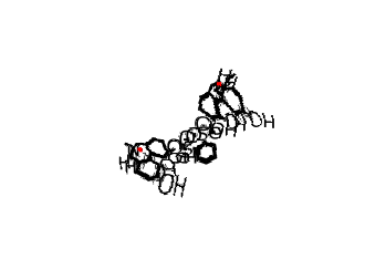 CN1CC[C@]23C4=C5O[C@H]2[C@@H](O)C=C[C@H]3[C@H]1CC4=CCC5(O)OS(=O)(=O)c1ccccc1S(=O)(=O)OC1(O)CC=C2C[C@@H]3[C@@H]4C=C[C@H](O)[C@@H]5OC1=C2[C@]45CCN3C